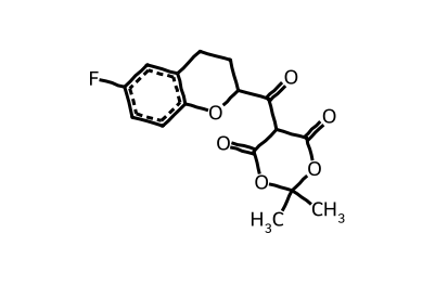 CC1(C)OC(=O)C(C(=O)C2CCc3cc(F)ccc3O2)C(=O)O1